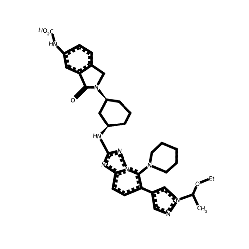 CCOC(C)n1cc(-c2ccc3nc(N[C@@H]4CCC[C@H](N5Cc6ccc(NC(=O)O)cc6C5=O)C4)nn3c2N2CCCCC2)cn1